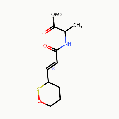 COC(=O)C(C)NC(=O)/C=C/C1CCCOS1